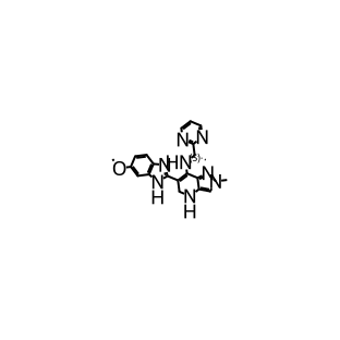 COc1ccc2nc(C3=C(N[C@@H](C)c4ncccn4)c4nn(C)cc4NC3)[nH]c2c1